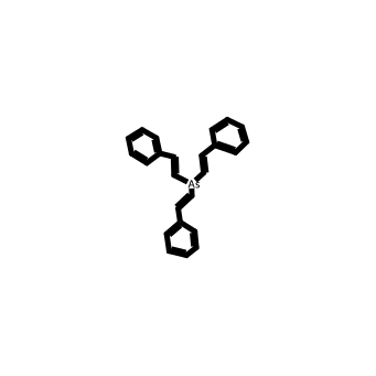 C(=C[As](C=Cc1ccccc1)C=Cc1ccccc1)c1ccccc1